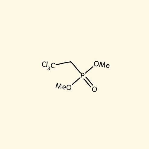 COP(=O)(CC(Cl)(Cl)Cl)OC